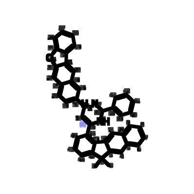 CC1(C)c2cc3ccccc3cc2-c2c(/C(=C/Cc3ccc4cc5oc6ccccc6c5cc4c3)NC(N)c3ccccc3)cccc21